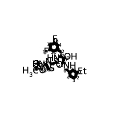 CCc1cccc(CNC[C@@H](O)[C@H](Cc2cc(F)cc(F)c2)NC(=O)c2nc(NS(C)(=O)=O)cs2)c1